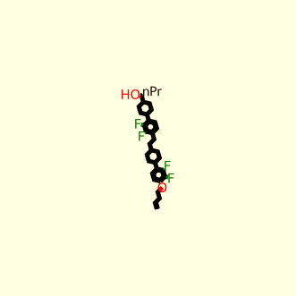 C=CCCOc1ccc(C2CCC(CCc3ccc(C4CCC(C(O)CCC)CC4)c(F)c3F)CC2)c(F)c1F